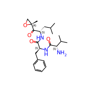 CC(C)C[C@H](NC(=O)[C@H](Cc1ccccc1)NC(=O)[C@@H](N)C(C)C)C(=O)[C@@]1(C)CO1